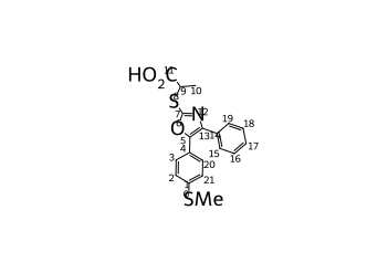 CSc1ccc(-c2oc(SC(C)C(=O)O)nc2-c2ccccc2)cc1